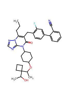 CCCc1c(Cc2ccc(-c3ccccc3C#N)cc2F)c(=O)n(C2CCC(OC(C)C3(C(C)O)CCC3)CC2)c2ncnn12